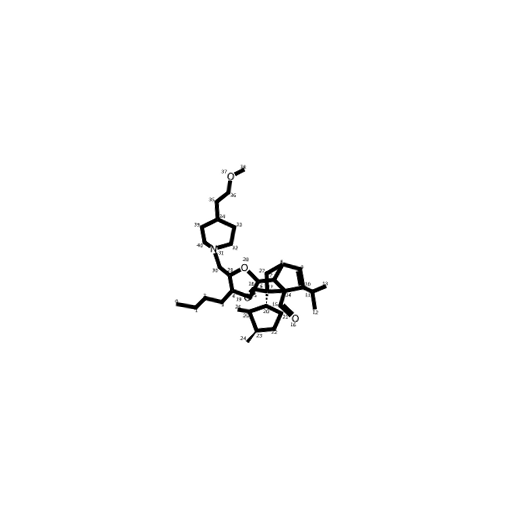 CCCCC1CC(C2C3C=C(C(C)C)C2(C=O)C(C=O)([C@@H]2CC[C@@H](C)C2C)C3)OC1CN1CCC(CCOC)CC1